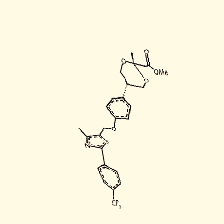 COC(=O)[C@]1(C)OC[C@H](c2ccc(OCc3sc(-c4ccc(C(F)(F)F)cc4)nc3C)cc2)CO1